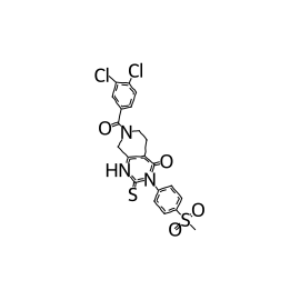 CS(=O)(=O)c1ccc(-n2c(=S)[nH]c3c(c2=O)CCN(C(=O)c2ccc(Cl)c(Cl)c2)C3)cc1